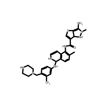 Cc1ccc2c(c1NC(=O)C1=CSC3=C(N)N(C)NC13)C=CNC2Nc1ccc(CN2CCNCC2)c(C(F)(F)F)c1